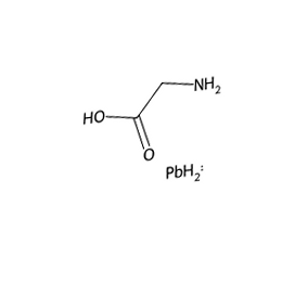 NCC(=O)O.[PbH2]